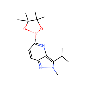 CC(C)c1c2nc(B3OC(C)(C)C(C)(C)O3)ccc2nn1C